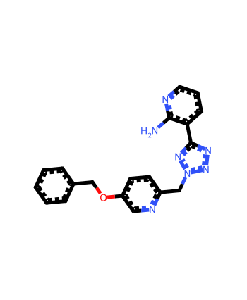 Nc1ncccc1-c1nnn(Cc2ccc(OCc3ccccc3)cn2)n1